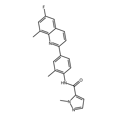 Cc1cc(-c2ccc3cc(F)cc(C)c3n2)ccc1NC(=O)c1ccnn1C